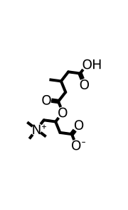 CC(CC(=O)O)CC(=O)OC(CC(=O)[O-])C[N+](C)(C)C